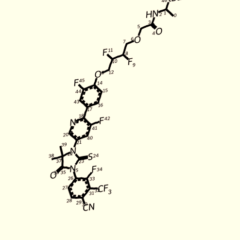 CC(NC(=O)COCC(F)C(F)COc1ccc(-c2ncc(N3C(=S)N(c4ccc(C#N)c(C(F)(F)F)c4F)C(=O)C3(C)C)cc2F)cc1F)C(C)(C)C